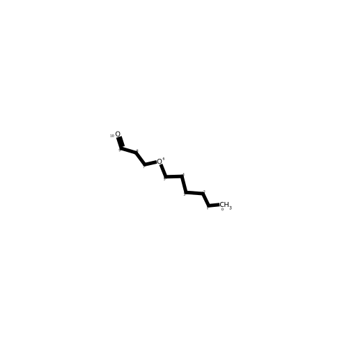 CCCCCCOCCC=O